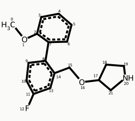 COc1ccccc1-c1ccc(F)cc1COC1CCNC1